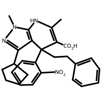 CC1=C(C(=O)O)C(CCc2ccccc2)(c2ccccc2[N+](=O)[O-])c2c(C3CCCC3)nn(C)c2N1